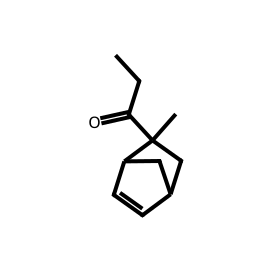 CCC(=O)C1(C)CC2C=CC1C2